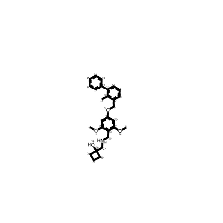 COc1cc(OCc2cccc(-c3ccccc3)c2C)cc(OC)c1CNCC1(O)CCC1